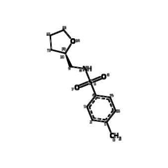 Cc1ccc(S(=O)(=O)NC[C@H]2CCCO2)cc1